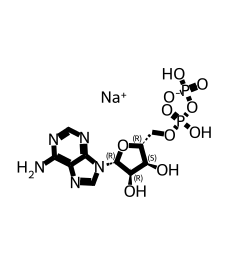 Nc1ncnc2c1ncn2[C@@H]1O[C@H](COP(=O)(O)OP(=O)([O-])O)[C@@H](O)[C@H]1O.[Na+]